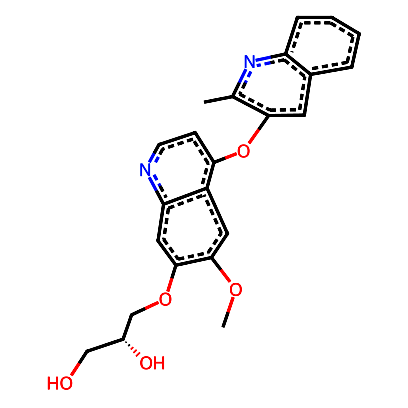 COc1cc2c(Oc3cc4ccccc4nc3C)ccnc2cc1OC[C@H](O)CO